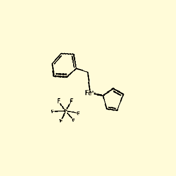 C1=C[CH]([Fe+][CH2]c2ccccc2)C=C1.F[P-](F)(F)(F)(F)F